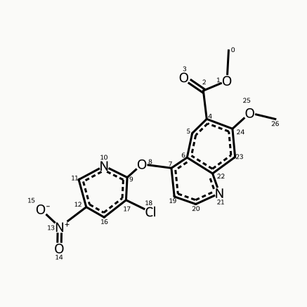 COC(=O)c1cc2c(Oc3ncc([N+](=O)[O-])cc3Cl)ccnc2cc1OC